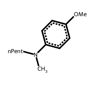 CCCCCN(C)c1ccc(OC)cc1